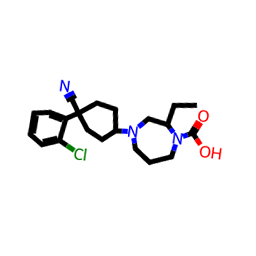 CCC1CN(C2CCC(C#N)(c3ccccc3Cl)CC2)CCCN1C(=O)O